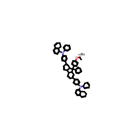 CC[C@@H](C)C(C)Oc1ccc(C2(c3ccccc3)C3C=C(c4ccc(N(c5ccccc5)c5cccc6c5CCC=C6)cc4)C=CC3C3C=CC(c4ccc(N(c5cccc6c5CCC=C6)C5C=CC=CC5)cc4)=CC32)cc1